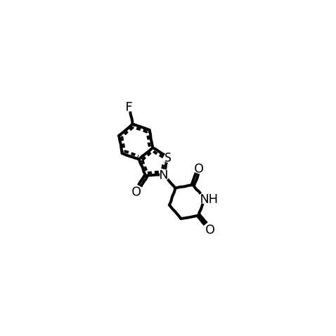 O=C1CCC(n2sc3cc(F)ccc3c2=O)C(=O)N1